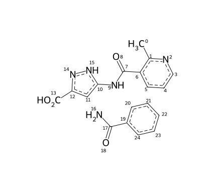 Cc1ncccc1C(=O)Nc1cc(C(=O)O)n[nH]1.NC(=O)c1ccccc1